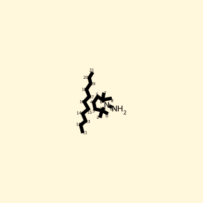 CC1(C)CCCC(C)(C)N1N.C[CH]CCCCCCCCC